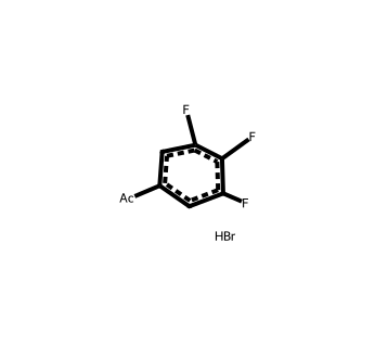 Br.CC(=O)c1cc(F)c(F)c(F)c1